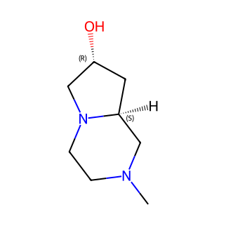 CN1CCN2C[C@H](O)C[C@H]2C1